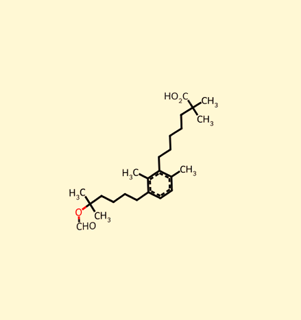 Cc1ccc(CCCCC(C)(C)OC=O)c(C)c1CCCCCC(C)(C)C(=O)O